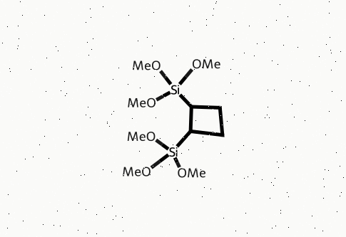 CO[Si](OC)(OC)C1CCC1[Si](OC)(OC)OC